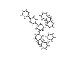 c1ccc(-c2ccc(-c3nc(-c4ccc5oc6cccc(-c7ccccc7)c6c5c4)nc(-c4cccc5sc6ccccc6c45)n3)cc2)cc1